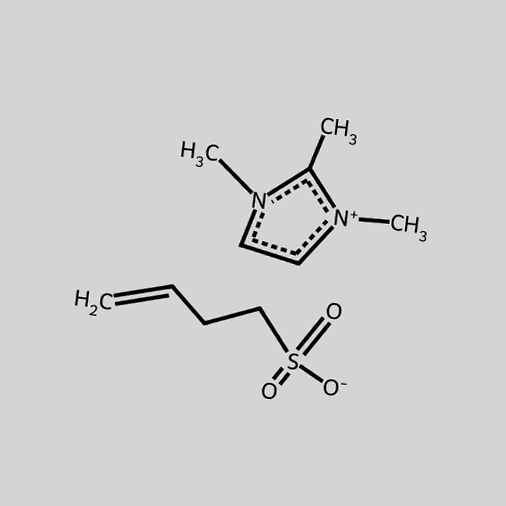 C=CCCS(=O)(=O)[O-].Cc1n(C)cc[n+]1C